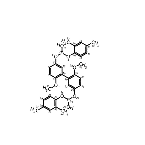 COc1ccc(OP(O)OC2=C=C=C(C)C=C2C)cc1-c1cc(OP(O)Oc2ccc(C)cc2C)ccc1OC